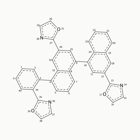 c1ccc(-c2cccc3c(-c4cc(-c5ncco5)cc5ccccc45)cc(-c4ncco4)cc23)c(-c2ncco2)c1